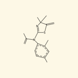 C=C(C)N(C1=NC(C)(C)C(=C)S1)c1ccc(C)cc1C